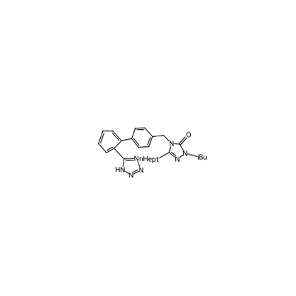 CCCCCCCc1nn(C(C)CC)c(=O)n1Cc1ccc(-c2ccccc2-c2nnn[nH]2)cc1